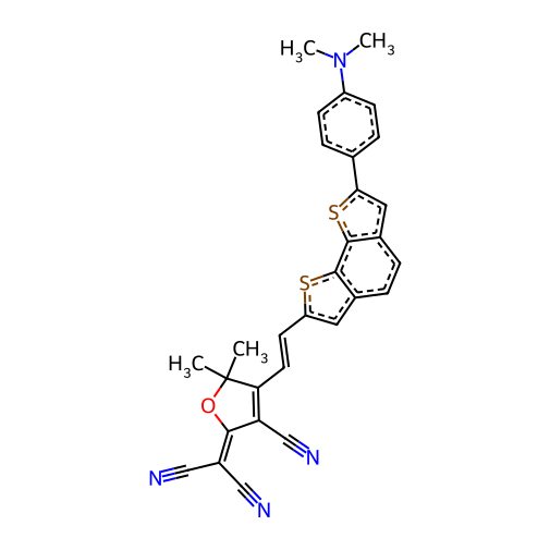 CN(C)c1ccc(-c2cc3ccc4cc(/C=C/C5=C(C#N)C(=C(C#N)C#N)OC5(C)C)sc4c3s2)cc1